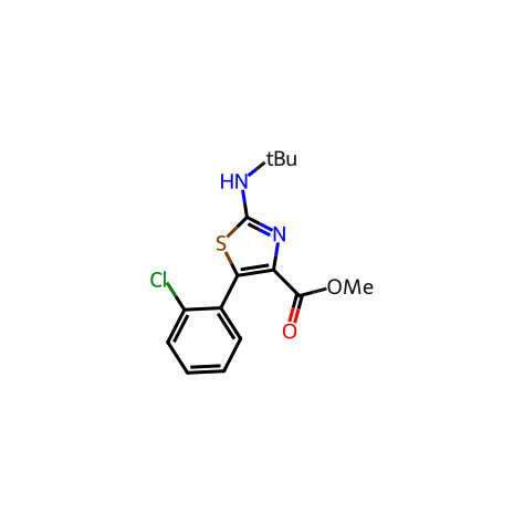 COC(=O)c1nc(NC(C)(C)C)sc1-c1ccccc1Cl